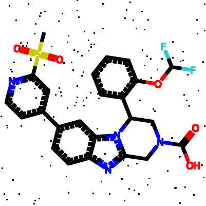 CS(=O)(=O)c1cc(-c2ccc3nc4n(c3c2)C(c2ccccc2OC(F)F)CN(C(=O)O)C4)ccn1